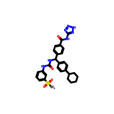 O=C(Nc1cccc(S(=O)(=O)C(F)(F)F)c1)NC(c1ccc(C(=O)Nc2nn[nH]n2)cc1)c1ccc(C2CCCCC2)cc1